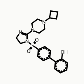 O=S(=O)(c1ccc(-c2ccccc2O)cc1)N1CCN=C1N1CCN(C2CCC2)CC1